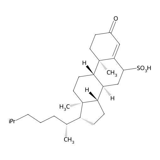 CC(C)CCC[C@@H](C)[C@H]1CC[C@H]2[C@@H]3CC(S(=O)(=O)O)C4=CC(=O)CC[C@]4(C)[C@H]3CC[C@]12C